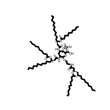 CCCCCCCCCCC[C@H](CC(=O)NCCO[C@@H]1OC(CO)[C@@H](OS(=O)(=O)O)C(NC(=O)C[C@@H](CCCCCCCCCCC)OC(=O)CCCCCCCCC)CC1NC(=O)C[C@@H](CCCCCCCCCCC)OC(=O)CCCCCCCCC)OC(=O)CCCCCCCCC